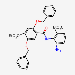 CCOC(=O)c1cc(OCc2ccccc2)c(C(=O)Nc2c(N)cccc2C(=O)OCC)cc1OCc1ccccc1